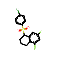 O=S(=O)(c1ccc(Cl)cc1)C1CCCc2c(F)cc(F)cc21